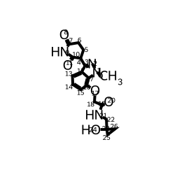 Cn1nc(C2CCC(=O)NC2=O)c2cccc(OCC(=O)NCC3(O)CC3)c21